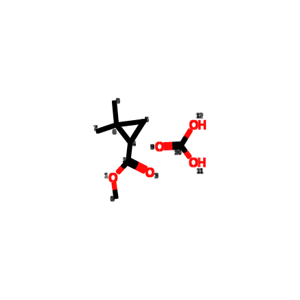 COC(=O)C1CC1(C)C.O=C(O)O